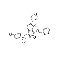 O=C1c2c(OCc3ccccc3)c(=O)nc(CC3(c4ccc(Cl)cc4)CCCC3)n2CCN1C1CCOCC1